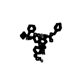 COc1ccc(CN(CC(=O)NC(c2ccccc2)C2CCC2)C(=O)C(Cc2c[nH]cn2)NC(=O)OCc2ccccc2)cc1